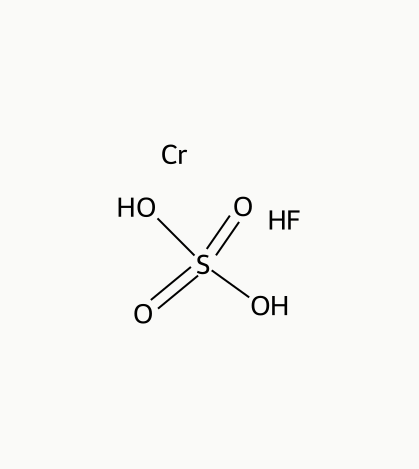 F.O=S(=O)(O)O.[Cr]